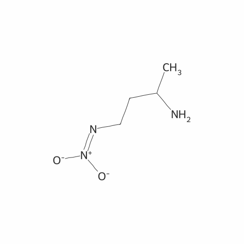 CC(N)CCN=[N+]([O-])[O-]